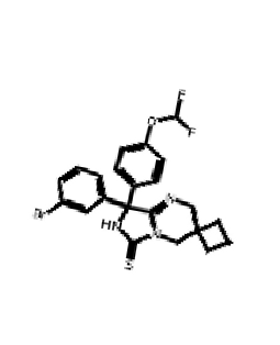 FC(F)Oc1ccc(C2(c3cccc(Br)c3)NC(=S)N3CC4(CCC4)CN=C32)cc1